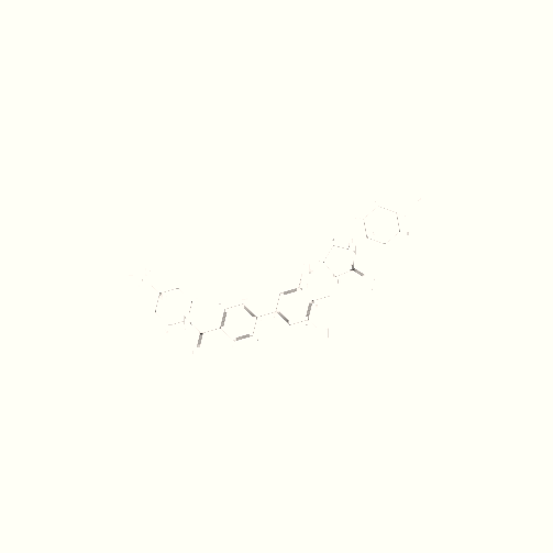 O=C(c1ccc(-c2cc(Cl)c(C[C@@H]3CCN([C@H]4CC[C@@H](F)CC4)C3=O)c(Cl)c2)cc1)N1CCC(C(F)(F)F)CC1